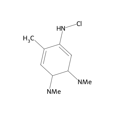 CNC1C=C(C)C(NCl)=CC1NC